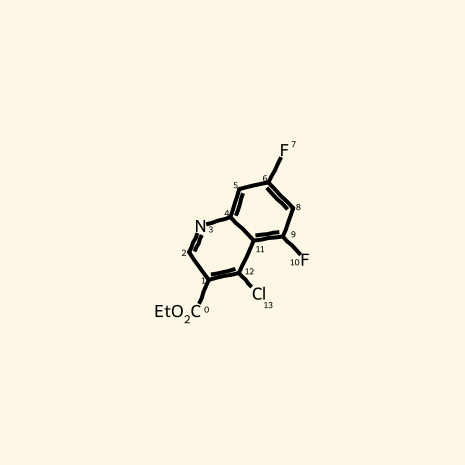 CCOC(=O)c1cnc2cc(F)cc(F)c2c1Cl